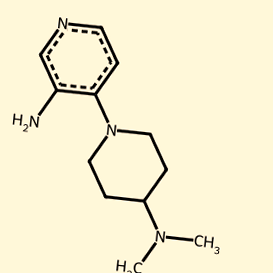 CN(C)C1CCN(c2ccncc2N)CC1